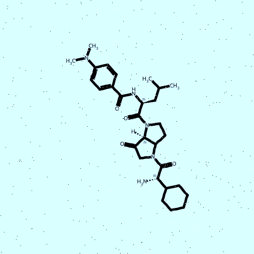 CC(C)C[C@H](NC(=O)c1ccc(N(C)C)cc1)C(=O)N1CCC2[C@H]1C(=O)CN2C(=O)[C@@H](N)C1CCCCC1